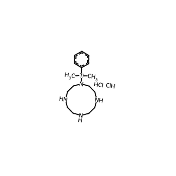 Cl.Cl.[CH3][Ti]([CH3])([c]1ccccc1)[N]1CCNCCNCCNCC1